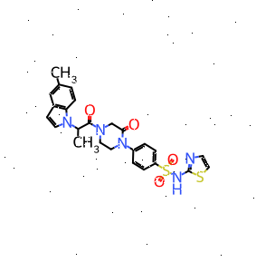 Cc1ccc2c(ccn2C(C)C(=O)N2CCN(c3ccc(S(=O)(=O)Nc4nccs4)cc3)C(=O)C2)c1